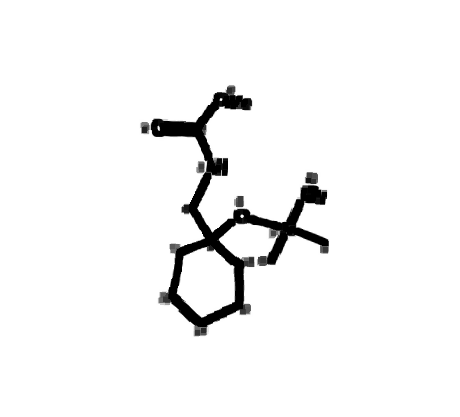 COC(=O)NCC1(O[Si](C)(C)C(C)(C)C)CCCCC1